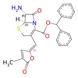 CC1=C/C(=C\C2=C(C(=O)OC(c3ccccc3)c3ccccc3)N3C(=O)[C@@H](N)[C@@H]3SC2)OC1=O